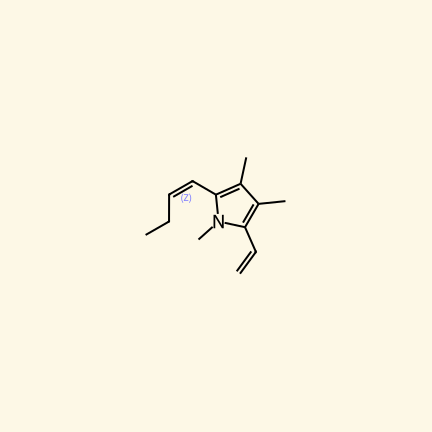 C=Cc1c(C)c(C)c(/C=C\CC)n1C